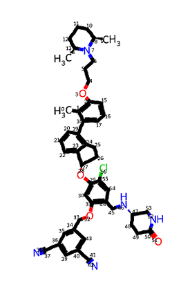 Cc1c(OCCCN2[C@H](C)CCC[C@@H]2C)cccc1-c1cccc2c1CC[C@@H]2Oc1cc(OCc2cc(C#N)cc(C#N)c2)c(CN[C@H]2CCC(=O)NC2)cc1Cl